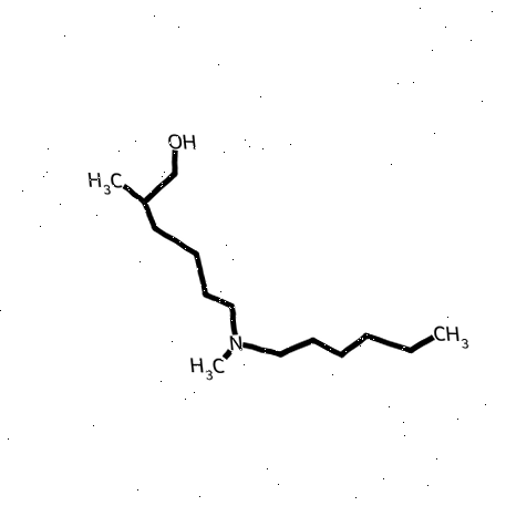 CCCCCCN(C)CCCCC(C)CO